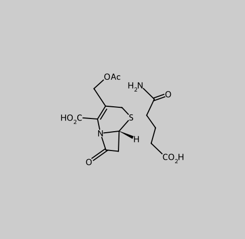 CC(=O)OCC1=C(C(=O)O)N2C(=O)C[C@H]2SC1.NC(=O)CCCC(=O)O